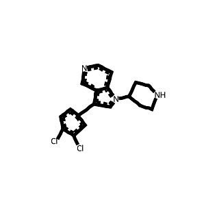 Clc1ccc(-c2cn(C3CCNCC3)c3ccncc23)cc1Cl